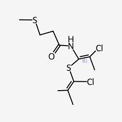 CSCCC(=O)N/C(SC(Cl)=C(C)C)=C(/C)Cl